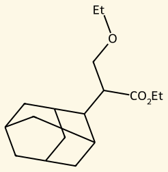 CCOCC(C(=O)OCC)C1C2CC3CC(C2)CC1C3